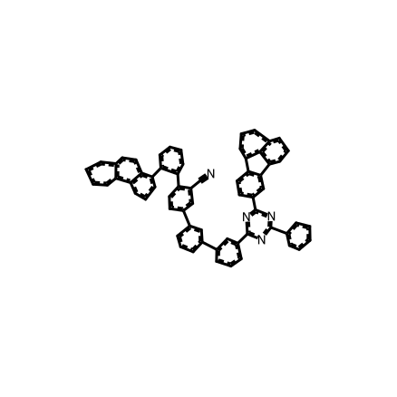 N#Cc1cc(-c2cccc(-c3cccc(-c4nc(-c5ccccc5)nc(-c5ccc6c(c5)-c5cccc7cccc-6c57)n4)c3)c2)ccc1-c1ccccc1-c1cccc2c1ccc1ccccc12